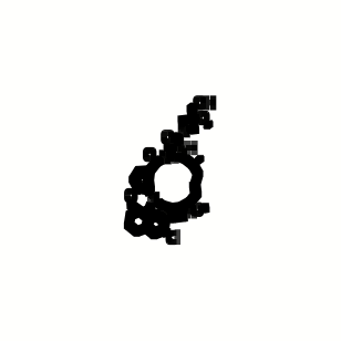 CO[C@H]1/C=C/C[C@H](C)C[S@@](=O)(NC(=O)N2CC(CO)(OC)C2)=NC(=O)c2ccc3c(c2)N(C[C@@H]2CC[C@H]21)C[C@@]1(CCCc2cc(Cl)ccc21)CO3